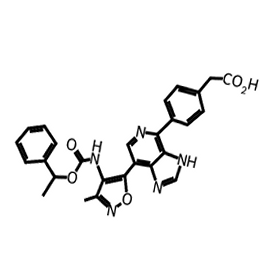 Cc1noc(-c2cnc(-c3ccc(CC(=O)O)cc3)c3[nH]cnc23)c1NC(=O)OC(C)c1ccccc1